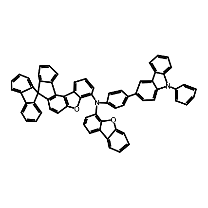 c1ccc(-n2c3ccccc3c3cc(-c4ccc(N(c5cccc6c5oc5ccccc56)c5cccc6c5oc5ccc7c(c56)-c5ccccc5C75c6ccccc6-c6ccccc65)cc4)ccc32)cc1